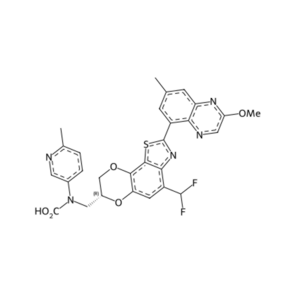 COc1cnc2c(-c3nc4c(C(F)F)cc5c(c4s3)OC[C@@H](CN(C(=O)O)c3ccc(C)nc3)O5)cc(C)cc2n1